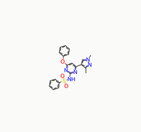 Cc1nn(C)cc1-c1cc(Oc2ccccc2)nc(NS(=O)(=O)c2ccccc2)n1